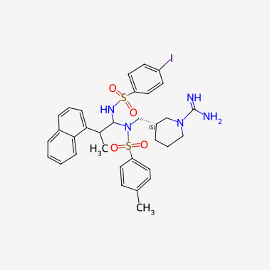 Cc1ccc(S(=O)(=O)N(C[C@H]2CCCN(C(=N)N)C2)C(NS(=O)(=O)c2ccc(I)cc2)C(C)c2cccc3ccccc23)cc1